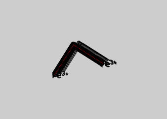 [Fe+3].[Fe+3].[Fe+3].[Fe+3].[Fe+3].[O-2].[O-2].[O-2].[O-2].[O-2].[O-2].[O-2].[O-2].[O-2].[O-2].[O-2].[O-2].[O-2].[O-2].[O-2].[O-2].[O-2].[O-2].[O-2].[O-2].[O-2].[O-2].[O-2].[O-2].[O-2].[O-2].[O-2].[O-2].[O-2].[O-2].[O-2].[O-2].[O-2].[O-2].[O-2].[O-2].[O-2].[O-2].[O-2].[O-2].[O-2].[O-2].[O-2].[O-2].[O-2].[O-2].[O-2].[O-2].[O-2].[O-2].[O-2].[O-2].[O-2].[O-2].[O-2].[O-2].[O-2].[O-2].[O-2].[O-2].[O-2].[O-2].[O-2].[O-2].[O-2].[O-2].[O-2].[O-2].[O-2].[O-2].[O-2].[O-2].[O-2].[O-2].[O-2].[O-2].[O-2].[O-2].[O-2].[O-2].[O-2].[O-2].[O-2].[O-2].[O-2].[O-2].[O-2].[O-2].[O-2].[O-2]